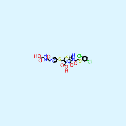 O=C(O)CNC(=O)C[n+]1ccc(SCC2=C(C(=O)O)N3C(=O)[C@H](NC(=O)CSc4cc(Cl)ccc4Cl)[C@H]3SC2)cc1